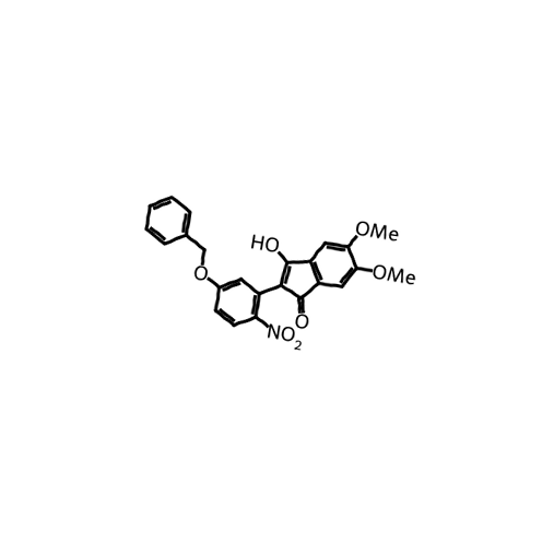 COc1cc2c(cc1OC)C(O)=C(c1cc(OCc3ccccc3)ccc1[N+](=O)[O-])C2=O